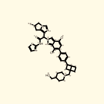 O=C(Nc1nccs1)C(c1ncn2c1C[C@@H](F)C2)n1cc2c(Cl)cc(-c3ccc(C45CC6(CN7CCC(CO)CC7)CC4C65)cc3)c(Cl)c2n1